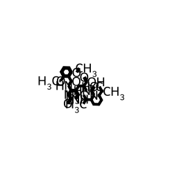 COc1cccc(OC)c1C(=O)Nc1nc(=O)[nH]cc1CC(NC(=O)N1C(C(C)C)CCCC1C(C)C)C(=O)O